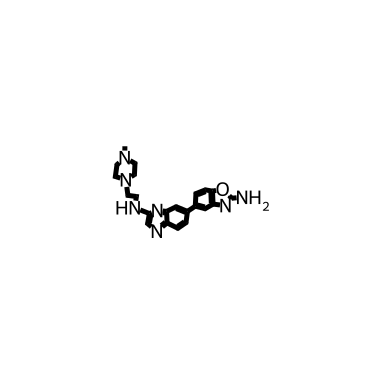 CN1CCN(CCNc2cnc3ccc(-c4ccc5oc(N)nc5c4)cc3n2)CC1